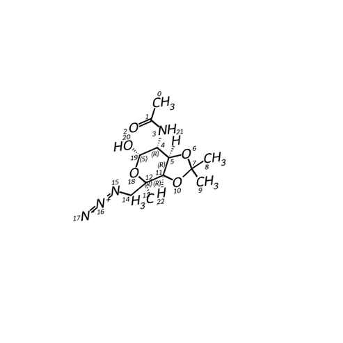 CC(=O)N[C@@H]1[C@H]2OC(C)(C)O[C@H]2[C@@](C)(CN=[N+]=[N-])O[C@@H]1O